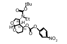 CCN(C(=O)OC(C)(C)C)[C@H]1CO[C@@H]2OCC[C@H](OC(=O)Oc3ccc([N+](=O)[O-])cc3)[C@@H]21